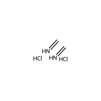 C=N.C=N.Cl.Cl